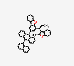 C/C=C(\c1c(C)oc2ccccc12)c1cc(-c2c3ccccc3c(-c3cccc4ccccc34)c3ccccc23)cc2c1oc1ccccc12